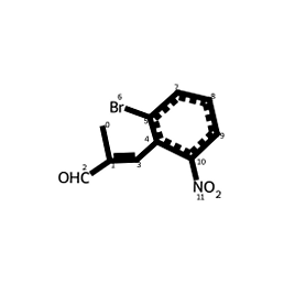 CC(C=O)=Cc1c(Br)cccc1[N+](=O)[O-]